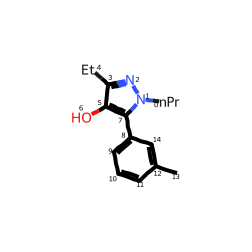 CCCn1nc(CC)c(O)c1-c1cccc(C)c1